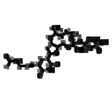 CSSC(C)OC1CC(C2C=C(C#CCNC(=O)I)C(=O)NC2=O)OC1COP(=O)(O)OP(=O)(O)OP(=O)(O)O